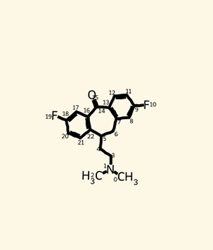 CN(C)CCC1Cc2cc(F)ccc2C(=O)c2cc(F)ccc21